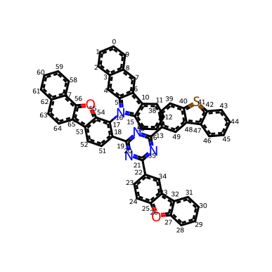 c1ccc2cc3c(cc2c1)c1ccccc1n3-c1c(-c2nc(-c3ccc4oc5ccccc5c4c3)nc(-c3ccc4sc5ccccc5c4c3)n2)ccc2c1oc1c3ccccc3ccc21